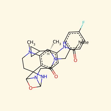 CNC(=O)Nc1ccc2c(c1)N(C)CCC21NC2OC1N2CC(=O)N(Cc1ccc(F)cc1)[C@@H](C)C1CC1